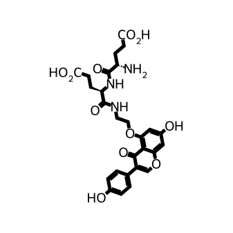 N[C@@H](CCC(=O)O)C(=O)N[C@H](CCC(=O)O)C(=O)NCCOc1cc(O)cc2occ(-c3ccc(O)cc3)c(=O)c12